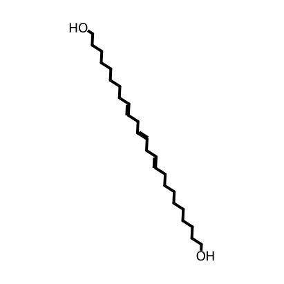 OCCCCCCCC/C=C/C/C=C/C/C=C/CCCCCCCCCO